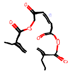 C=C(C)C(=O)OC(=O)/C=C\C(=O)OC(=O)C(=C)C